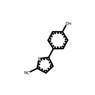 N#Cc1ccc(-c2ccc(O)cc2)s1